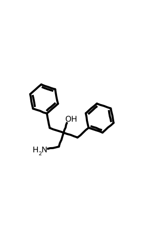 NCC(O)(Cc1ccccc1)Cc1ccccc1